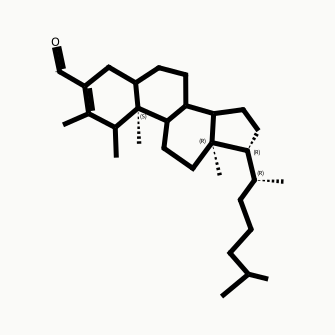 CC1=C([C]=O)CC2CCC3C(CC[C@@]4(C)C3CC[C@@H]4[C@H](C)CCCC(C)C)[C@@]2(C)C1C